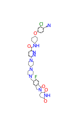 N#Cc1ccc(O[C@H]2CC[C@H](NC(=O)c3ccc(N4CCC(N5CCN(Cc6cc7c(cc6F)C(=O)N(C6CCC(=O)NC6=O)C7)CC5)CC4)nn3)CC2)cc1Cl